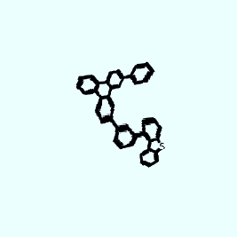 c1ccc(-c2ccc3c4ccccc4c4ccc(-c5cccc(-c6cccc7sc8ccccc8c67)c5)cc4c3c2)cc1